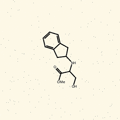 COC(=O)C(CO)NC1Cc2ccccc2C1